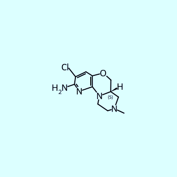 CN1CCN2c3nc(N)c(Cl)cc3OC[C@@H]2C1